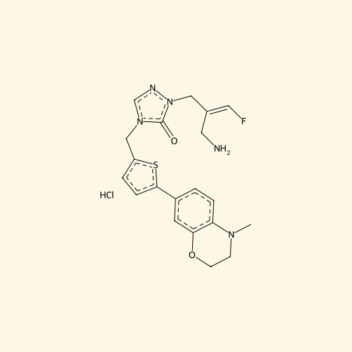 CN1CCOc2cc(-c3ccc(Cn4cnn(C/C(=C/F)CN)c4=O)s3)ccc21.Cl